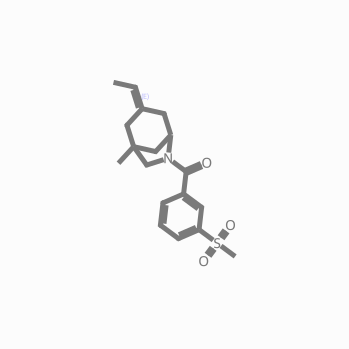 C/C=C1/CC2CC(C)(C1)CN2C(=O)c1cccc(S(C)(=O)=O)c1